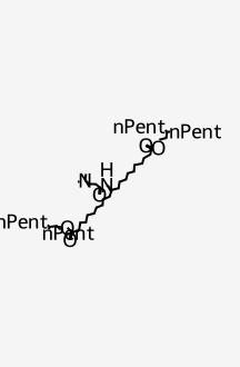 CCCCCC(CCCCC)CCOC(=O)CCCCCCCCCC(CCCCCCCCCC(=O)OCCC(CCCCC)CCCCC)NC(=O)CCN(C)C